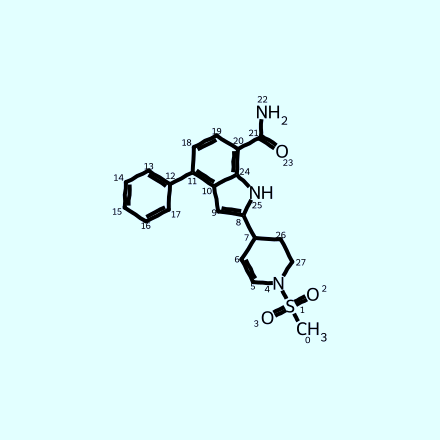 CS(=O)(=O)N1C=CC(c2cc3c(-c4ccccc4)ccc(C(N)=O)c3[nH]2)CC1